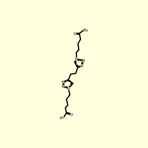 CCC(C)C(=O)CCCCn1cc(CCc2cn(CCCCC(=O)C(C)C)nn2)nn1